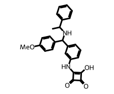 COc1ccc(C(NC(C)c2ccccc2)c2cccc(Nc3c(O)c(=O)c3=O)c2)cc1